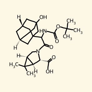 CC(C)(C)OC(=O)NC(C(=O)N1C[C@H]2[C@@H]([C@H]1C(=O)O)C2(C)C)C12C[C@@H]3C[C@@H](CC(O)(C3)C1)C2